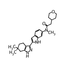 CN(C(=O)CC1CCOCC1)c1ccc2cc(-c3n[nH]c4c3CCC(C)(C)C4)[nH]c2c1